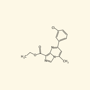 CCOC(=O)c1ncn2c(C)cc(-c3cccc(Cl)c3)nc12